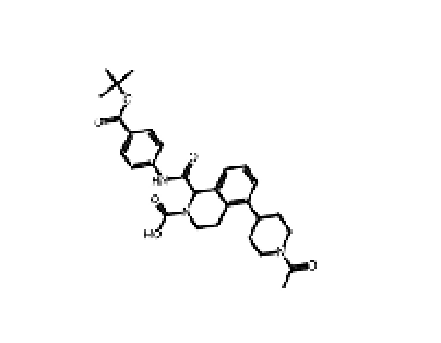 CC(=O)N1CCC(c2cccc3c2CCN(C(=O)O)C3C(=O)Nc2ccc(C(=O)OC(C)(C)C)cc2)CC1